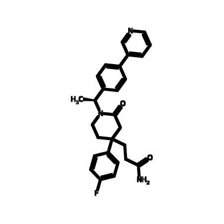 C[C@@H](c1ccc(-c2cccnc2)cc1)N1CCC(CCC(N)=O)(c2ccc(F)cc2)CC1=O